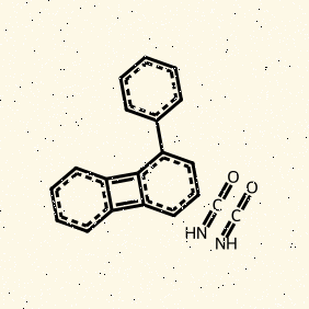 N=C=O.N=C=O.c1ccc(-c2cccc3c2=c2ccccc2=3)cc1